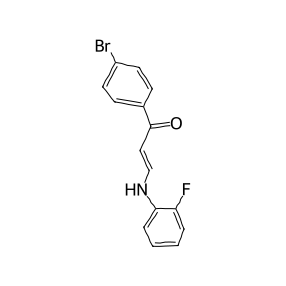 O=C(/C=C/Nc1ccccc1F)c1ccc(Br)cc1